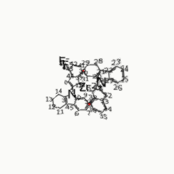 C1=C(n2c3c(c4ccccc42)CCCC3)[CH]([Zr+2][CH]2C(n3c4c(c5ccccc53)CCCC4)=Cc3ccccc32)c2ccccc21.[F-].[F-]